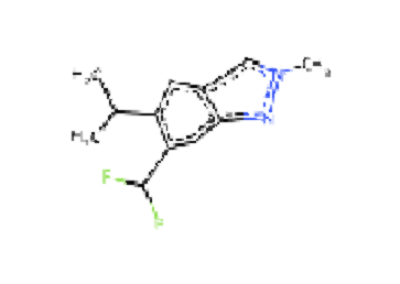 CC(C)c1cc2cn(C)nc2cc1C(F)F